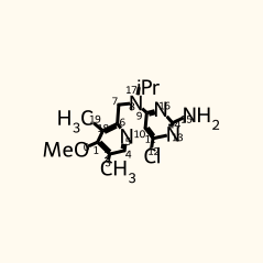 COc1c(C)cnc(CN(c2cc(Cl)nc(N)n2)C(C)C)c1C